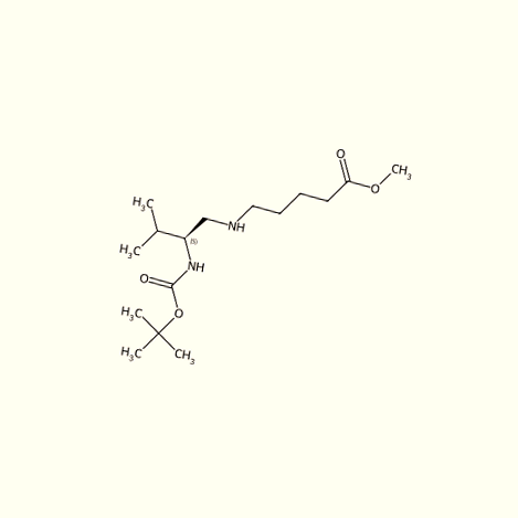 COC(=O)CCCCNC[C@@H](NC(=O)OC(C)(C)C)C(C)C